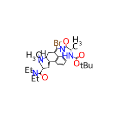 CCN(CC)C(=O)[C@@H]1C=C2c3cccc4c3c(c(Br)n4C(=O)[C@H](C)NC(=O)OC(C)(C)C)C[C@H]2N(C)C1